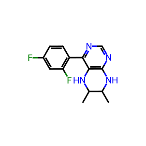 CC1Nc2ncnc(-c3ccc(F)cc3F)c2NC1C